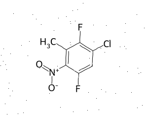 Cc1c(F)c(Cl)cc(F)c1[N+](=O)[O-]